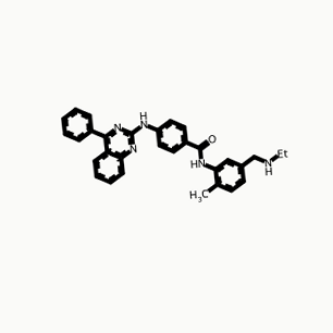 CCNCc1ccc(C)c(NC(=O)c2ccc(Nc3nc(-c4ccccc4)c4ccccc4n3)cc2)c1